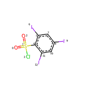 O=S(=O)(Cl)c1c(I)cc(I)cc1I